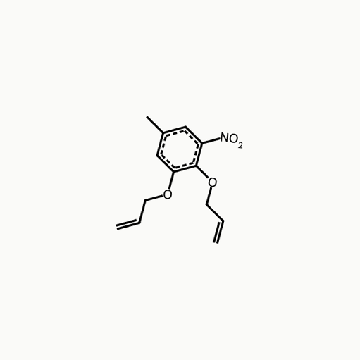 C=CCOc1cc(C)cc([N+](=O)[O-])c1OCC=C